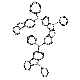 c1ccc(N(c2ccc3oc4c(c3c2)c2cc(N(c3ccccc3)c3ccc5c(c3)sc3ccccc35)ccc2n4-c2ccccc2)c2ccc3c(c2)c2ccccc2n3-c2ccccc2)cc1